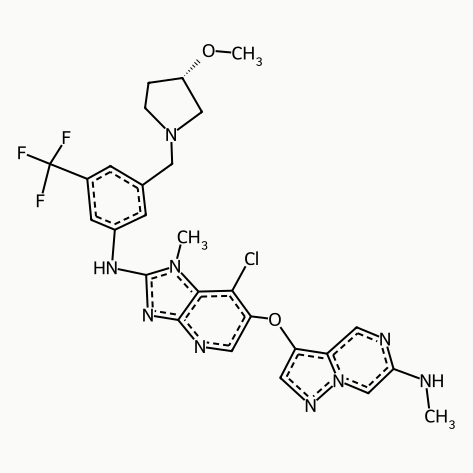 CNc1cn2ncc(Oc3cnc4nc(Nc5cc(CN6CC[C@H](OC)C6)cc(C(F)(F)F)c5)n(C)c4c3Cl)c2cn1